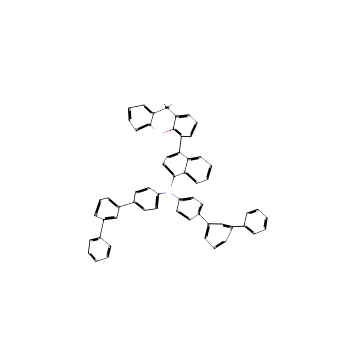 CC1(C)c2ccccc2Oc2c(-c3ccc(N(c4ccc(-c5cccc(-c6ccccc6)c5)cc4)c4ccc(-c5cccc(-c6ccccc6)c5)cc4)c4ccccc34)cccc21